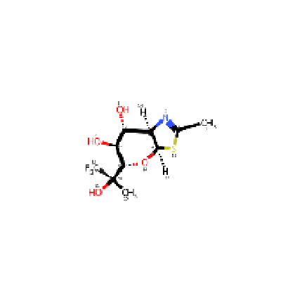 CC1=N[C@@H]2[C@@H](O)[C@H](O)[C@@H]([C@](C)(O)C(F)(F)F)O[C@@H]2S1